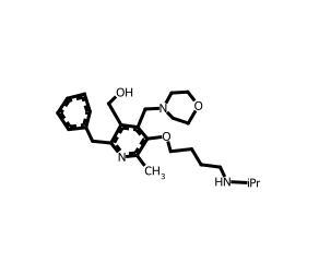 Cc1nc(Cc2ccccc2)c(CO)c(CN2CCOCC2)c1OCCCCNC(C)C